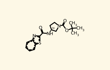 CC(C)(C)OC(=O)N1CC[C@H](NC(=O)c2nc3ccccc3s2)C1